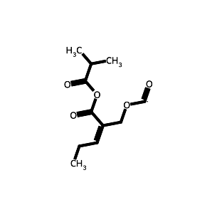 CCC=C(CO[C]=O)C(=O)OC(=O)C(C)C